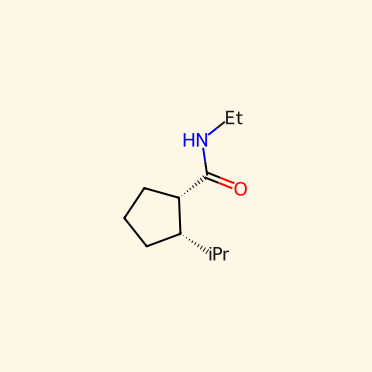 CCNC(=O)[C@H]1CCC[C@H]1C(C)C